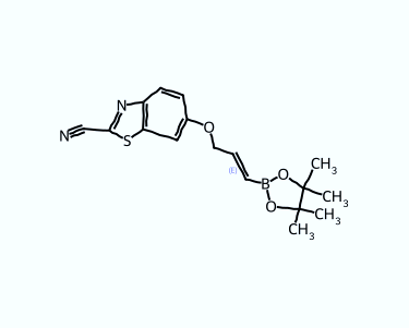 CC1(C)OB(/C=C/COc2ccc3nc(C#N)sc3c2)OC1(C)C